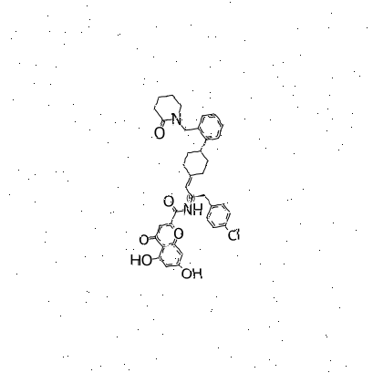 O=C(N[C@@H](C=C1CCC(c2ccccc2CN2CCCCC2=O)CC1)Cc1ccc(Cl)cc1)c1cc(=O)c2c(O)cc(O)cc2o1